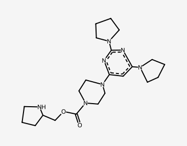 O=C(OCC1CCCN1)N1CCN(c2cc(N3CCCC3)nc(N3CCCC3)n2)CC1